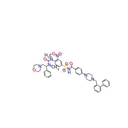 CN(C(=O)N(C)C(CN1CCOCC1)c1ccccc1)c1ccc(S(=O)(=O)NC(=O)c2ccc(N3CCN(Cc4ccccc4-c4ccccc4)CC3)cc2)cc1[N+](=O)[O-]